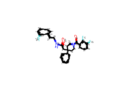 O=C(CC1(c2ccccc2)CCN(C(=O)c2cccc(F)c2F)CC1)NCCc1ccccc1F